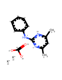 Cc1cc(C)nc(Nc2ccccc2)n1.O=C([O-])[O-].[K+].[K+]